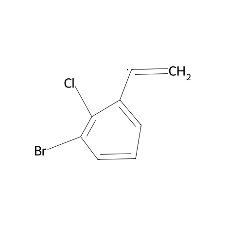 C=[C]c1cccc(Br)c1Cl